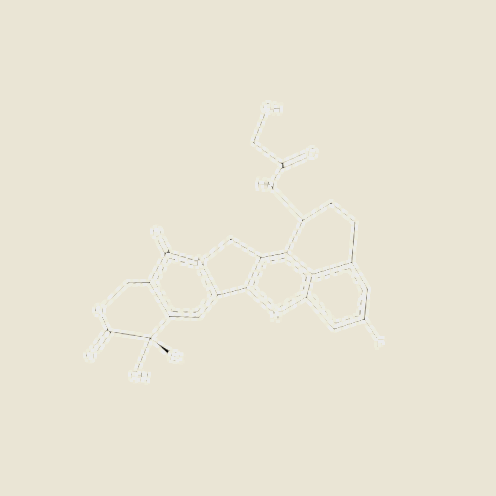 CC[C@@]1(O)C(=O)OCc2c1cc1n(c2=O)Cc2c-1nc1cc(F)cc3c1c2C(NC(=O)CO)CC3